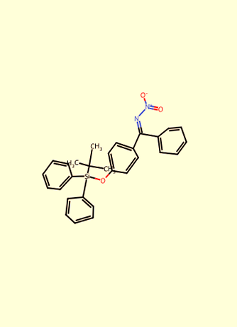 CC(C)(C)[Si](Oc1ccc(C(=N[N+](=O)[O-])c2ccccc2)cc1)(c1ccccc1)c1ccccc1